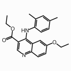 CCOC(=O)c1cnc2ccc(OCC)cc2c1Nc1ccc(C)cc1C